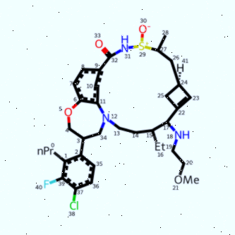 CCCc1c(C2COc3ccc4cc3N(CCC(CC)C(NCCOC)C3=C[C@@H](C3)CC(C)[S+]([O-])NC4=O)C2)ccc(Cl)c1F